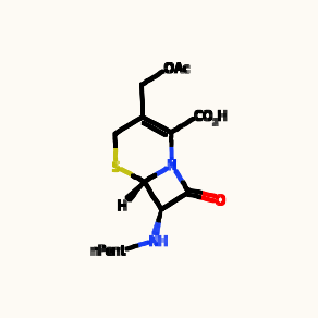 CCCCCN[C@@H]1C(=O)N2C(C(=O)O)=C(COC(C)=O)CS[C@@H]12